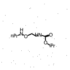 CCCNOCCNC(=O)OC(C)C